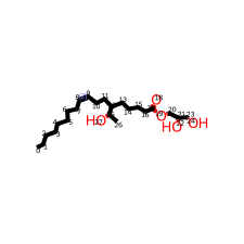 CCCCCCCC/C=C\CCC(CCCCC(=O)OCC(O)CO)C(C)O